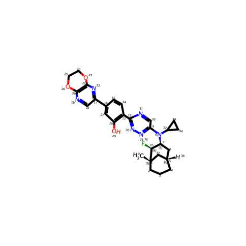 C[C@@]12CCC[C@@H](C[C@H](N(c3cnc(-c4ccc(-c5cnc6c(n5)OCCO6)cc4O)nn3)C3CC3)[C@@H]1F)C2